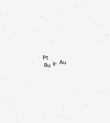 [Au].[Ir].[Pt].[Ru]